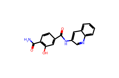 NC(=O)c1ccc(C(=O)Nc2cnc3ccccc3c2)cc1O